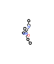 O=C(Cc1ccc(-c2ccccc2)cc1)NCC(CCCN1CCC(c2ccccc2)CC1)(c1ccccc1)c1ccccc1